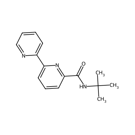 CC(C)(C)NC(=O)c1cccc(-c2ccccn2)n1